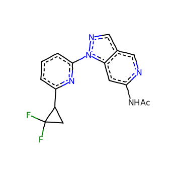 CC(=O)Nc1cc2c(cn1)cnn2-c1cccc(C2CC2(F)F)n1